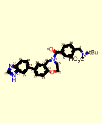 CC(C)(C)N(Cc1ccc(C(=O)N2CCOc3ccc(-c4ccc5nc[nH]c5c4)cc3C2)cc1)C(=O)O